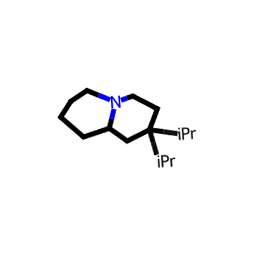 CC(C)C1(C(C)C)CCN2CCCCC2C1